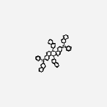 c1ccc(N(c2ccc3ccccc3c2)c2ccc3c(ccc4c(-c5ccc6ccccc6c5)c5c(ccc6cc(N(c7ccccc7)c7ccc8ccccc8c7)ccc65)c(-c5ccc6ccccc6c5)c43)c2)cc1